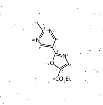 CCOC(=O)c1cnc(-c2cnc(C)nc2)o1